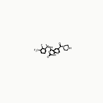 C[C@@H](Nc1nc(=O)[nH]c2ncc(C(=O)N3CCNCC3)cc12)c1cccc(C(F)(F)F)c1F